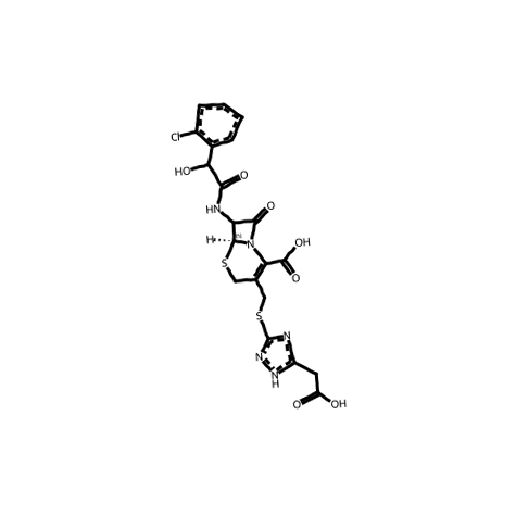 O=C(O)Cc1nc(SCC2=C(C(=O)O)N3C(=O)C(NC(=O)C(O)c4ccccc4Cl)[C@@H]3SC2)n[nH]1